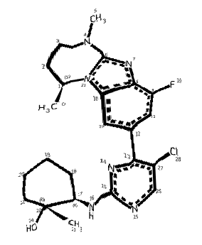 C[C@H]1CCN(C)c2nc3c(F)cc(-c4nc(N[C@@H]5CCCC[C@@]5(C)O)ncc4Cl)cc3n21